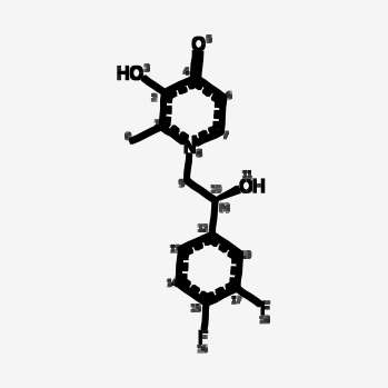 Cc1c(O)c(=O)ccn1C[C@@H](O)c1ccc(F)c(F)c1